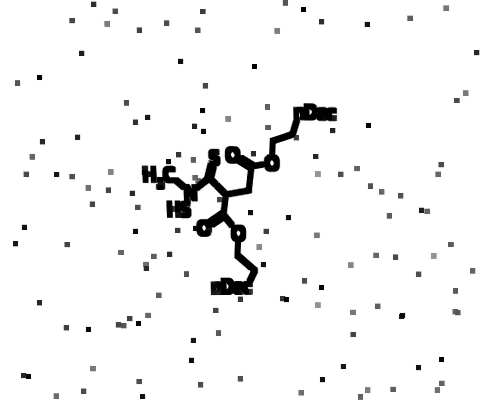 CCCCCCCCCCCCOC(=O)CC(C(=O)OCCCCCCCCCCCC)C(=S)N(C)S